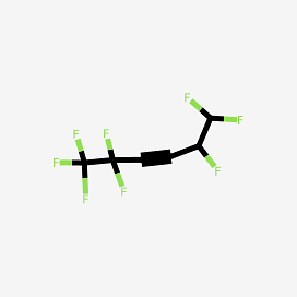 FC(F)C(F)C#CC(F)(F)C(F)(F)F